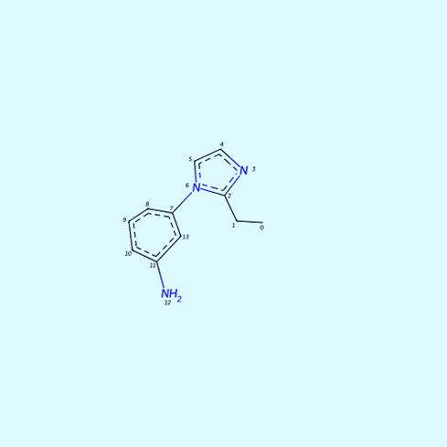 CCc1nccn1-c1cccc(N)c1